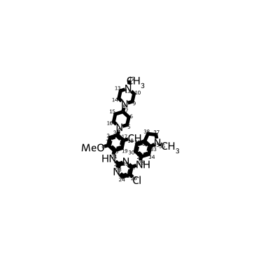 COc1cc(N2CCC(N3CCN(C)CC3)CC2)c(C)cc1Nc1ncc(Cl)c(Nc2ccc3c(c2)N(C)CC3)n1